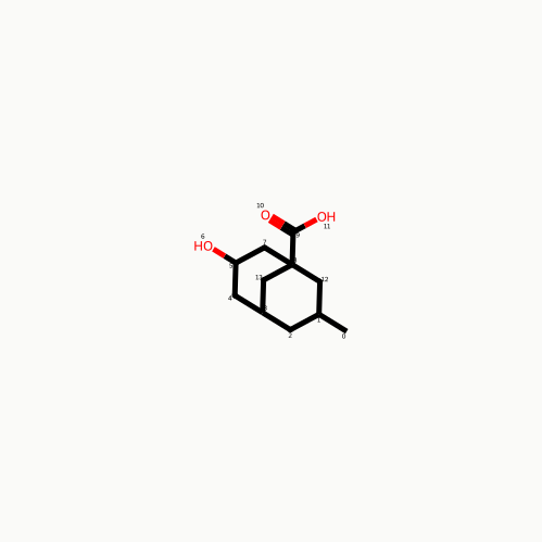 CC1CC2CC(O)CC(C(=O)O)(C1)C2